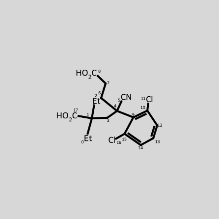 CCC(CC)(CC(C#N)(CCC(=O)O)c1c(Cl)cccc1Cl)C(=O)O